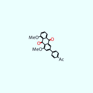 COc1cccc2c1C(=O)c1c(OC)cc(-c3ccc(C(C)=O)cc3)cc1C2=O